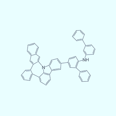 c1ccc(-c2cccc(Nc3ccc(-c4ccc5c(c4)c4cccc6c4n5-c4cc5ccccc5cc4-c4ccccc4-6)cc3-c3ccccc3)c2)cc1